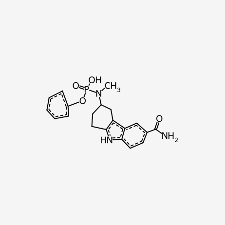 CN(C1CCc2[nH]c3ccc(C(N)=O)cc3c2C1)P(=O)(O)Oc1ccccc1